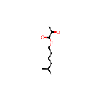 CC(=O)C(=O)OCCCCC(C)C